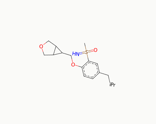 CC(C)Cc1ccc(OCC2C3COCC32)c(S(C)(=N)=O)c1